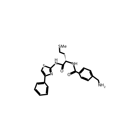 CSCC[C@H](NC(=O)c1ccc(CN)cc1)C(=O)Nc1nc(-c2ccccc2)cs1